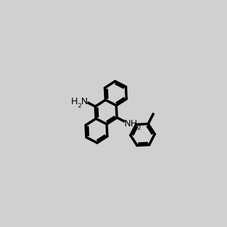 Cc1ccccc1.Nc1c2ccccc2c(N)c2ccccc12